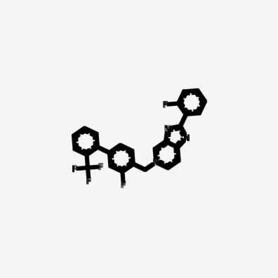 Fc1cc(-c2ccccc2C(F)(F)F)ccc1Cn1ccc2nc(-c3ccccc3F)nc-2c1